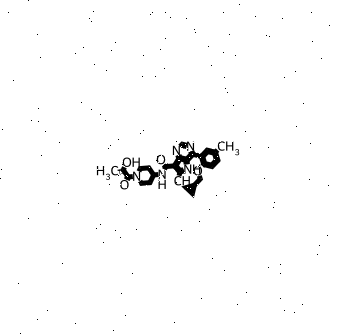 Cc1ccc(OCC2CC2)c(-c2ncnc3c(C(=O)NC4CCN(C(=O)[C@H](C)O)CC4)c(C)[nH]c23)c1